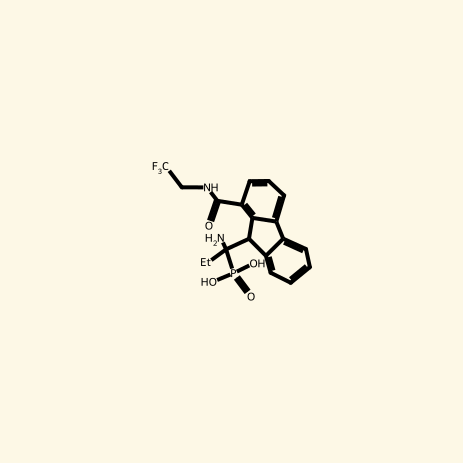 CCC(N)(C1c2ccccc2-c2cccc(C(=O)NCC(F)(F)F)c21)P(=O)(O)O